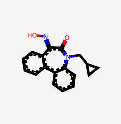 O=c1/c(=N/O)c2ccccc2c2ccccc2n1CC1CC1